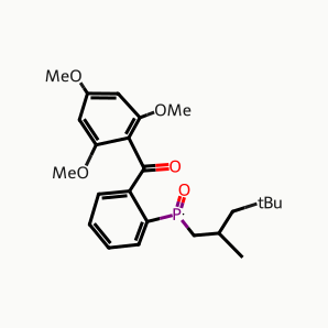 COc1cc(OC)c(C(=O)c2ccccc2[P](=O)CC(C)CC(C)(C)C)c(OC)c1